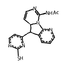 CC(=O)NC1=NC=CC2C(c3ccnc(S)n3)c3cccnc3N12